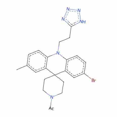 CC(=O)N1CCC2(CC1)c1cc(C)ccc1N(CCc1nnn[nH]1)c1ccc(Br)cc12